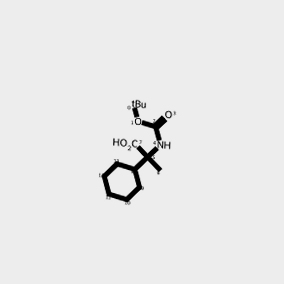 CC(C)(C)OC(=O)NC(C)(C(=O)O)C1CCCCC1